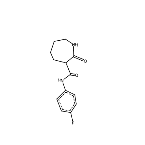 O=C1NCCCCC1C(=O)Nc1ccc(F)cc1